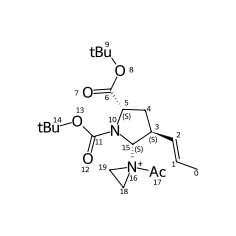 CC=C[C@@H]1C[C@@H](C(=O)OC(C)(C)C)N(C(=O)OC(C)(C)C)[C@H]1[N+]1(C(C)=O)CC1